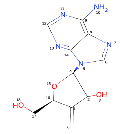 C=C1C(O)[C@H](n2cnc3c(N)ncnc32)O[C@@H]1CO